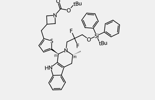 C[C@@H]1Cc2c([nH]c3ccccc23)[C@@H](c2ccc(CC3CN(C(=O)OC(C)(C)C)C3)s2)N1CC(F)(F)CO[Si](c1ccccc1)(c1ccccc1)C(C)(C)C